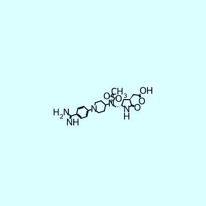 CS(=O)(=O)N(C[C@@H]1C[C@@H](CC(=O)O)C(=O)N1)C1CCN(c2ccc(C(=N)N)cc2)CC1